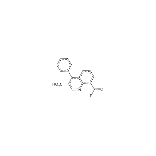 O=C(O)c1cnc2c(C(=O)F)cccc2c1-c1ccccc1